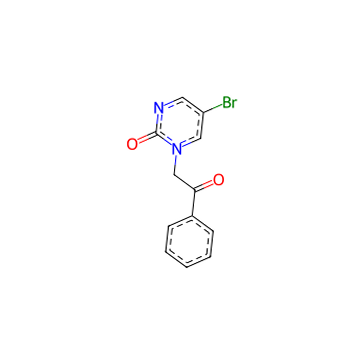 O=C(Cn1cc(Br)cnc1=O)c1ccccc1